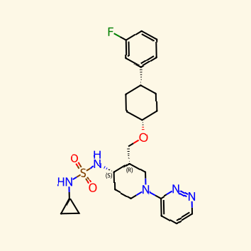 O=S(=O)(NC1CC1)N[C@H]1CCN(c2cccnn2)C[C@H]1CO[C@H]1CC[C@@H](c2cccc(F)c2)CC1